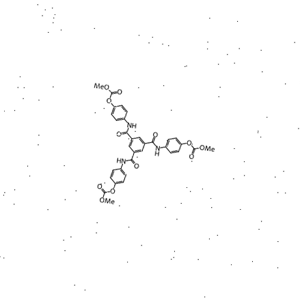 COC(=O)Oc1ccc(NC(=O)c2cc(C(=O)Nc3ccc(OC(=O)OC)cc3)cc(C(=O)Nc3ccc(OC(=O)OC)cc3)c2)cc1